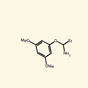 CCC(N)Oc1cc(OC)cc(OC)c1